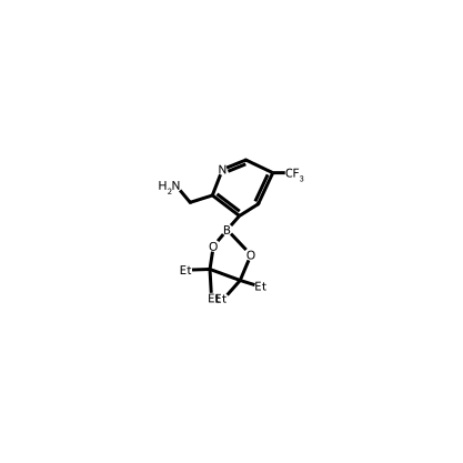 CCC1(CC)OB(c2cc(C(F)(F)F)cnc2CN)OC1(CC)CC